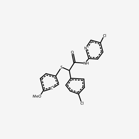 COc1ccc(SC(C(=O)Nc2ccc(Cl)cn2)c2ccc(Cl)cc2)cc1